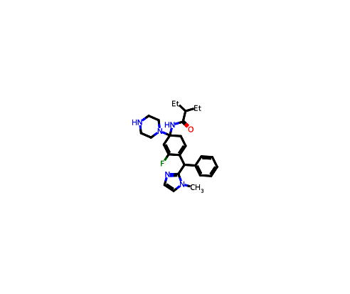 CCC(CC)C(=O)NC1(N2CCNCC2)C=C(F)C(C(c2ccccc2)c2nccn2C)=CC1